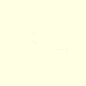 Brc1ccc2c(c1)CCN2SI